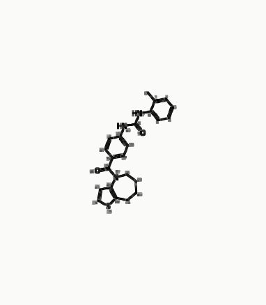 Cc1ccccc1NC(=O)Nc1ccc(C(=O)N2CCCCc3sccc32)cc1